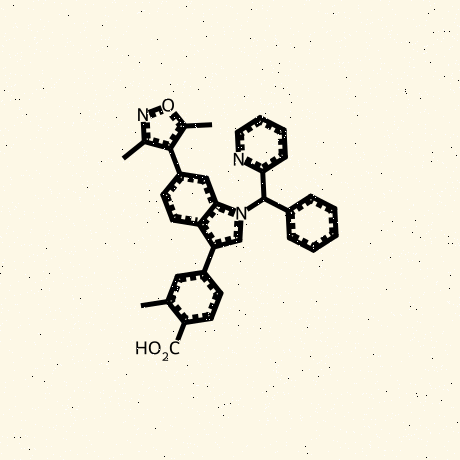 Cc1cc(-c2cn(C(c3ccccc3)c3ccccn3)c3cc(-c4c(C)noc4C)ccc23)ccc1C(=O)O